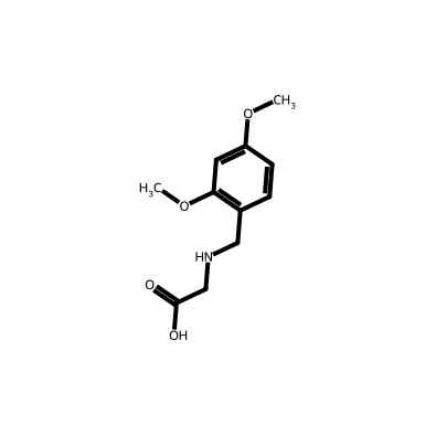 COc1ccc(CNCC(=O)O)c(OC)c1